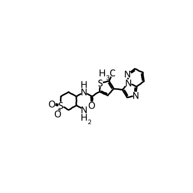 Cc1sc(C(=O)NC2CCS(=O)(=O)CC2N)cc1-c1cnc2cccnn12